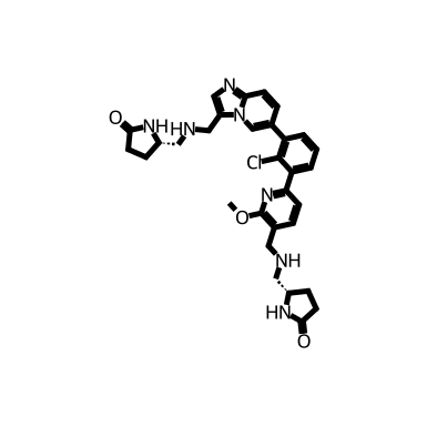 COc1nc(-c2cccc(-c3ccc4ncc(CNC[C@@H]5CCC(=O)N5)n4c3)c2Cl)ccc1CNC[C@@H]1CCC(=O)N1